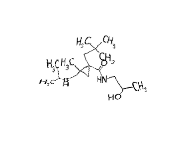 CC(C)BC1(C)CC1(CC(C)(C)C)C(=O)NCC(C)O